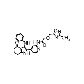 Cc1noc(COCC(=O)Nc2cc(-c3[nH]c4c(c3Nc3ccccc3)C(=O)CCC4)ccn2)n1